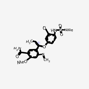 C=Nc1cc(OC)c(C(N)=O)cc1/C(=C\C)Oc1ccc(NS(=O)(=O)NC)c(Cl)c1